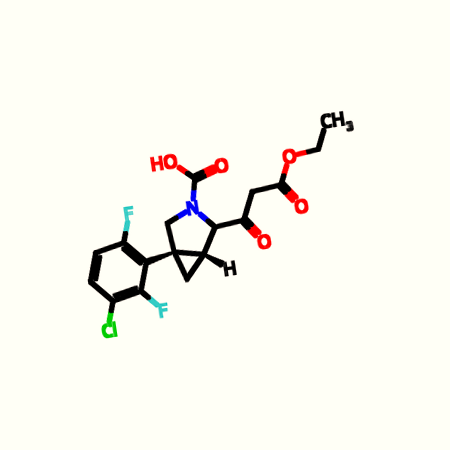 CCOC(=O)CC(=O)C1[C@@H]2C[C@]2(c2c(F)ccc(Cl)c2F)CN1C(=O)O